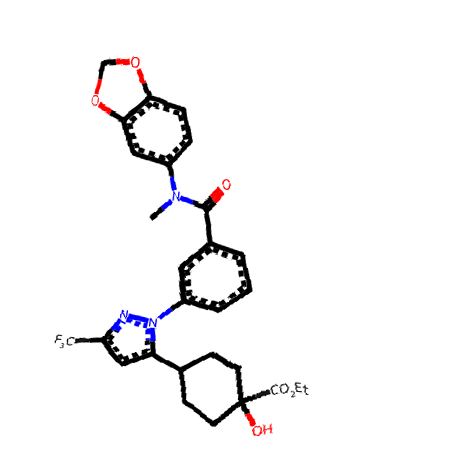 CCOC(=O)C1(O)CCC(c2cc(C(F)(F)F)nn2-c2cccc(C(=O)N(C)c3ccc4c(c3)OCO4)c2)CC1